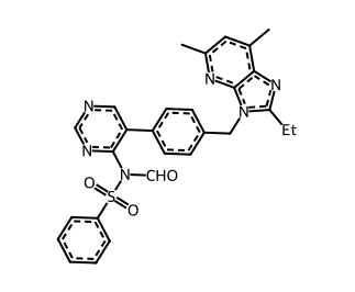 CCc1nc2c(C)cc(C)nc2n1Cc1ccc(-c2cncnc2N(C=O)S(=O)(=O)c2ccccc2)cc1